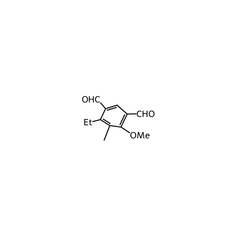 CCc1c(C=O)cc(C=O)c(OC)c1C